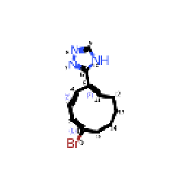 Br/C1=C/C=C\C(c2nnc[nH]2)=C\CCCC1